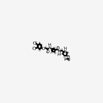 O=C(COc1ccc(Cl)c(Cl)c1)NC1CC2(C(=O)NCC3CCC(OC(F)F)CN3)CC1C2